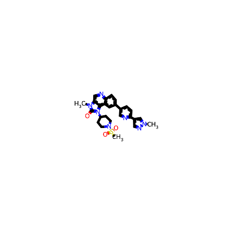 Cn1cc(-c2ccc(-c3ccc4ncc5c(c4c3)n(C3CCN(S(C)(=O)=O)CC3)c(=O)n5C)cn2)cn1